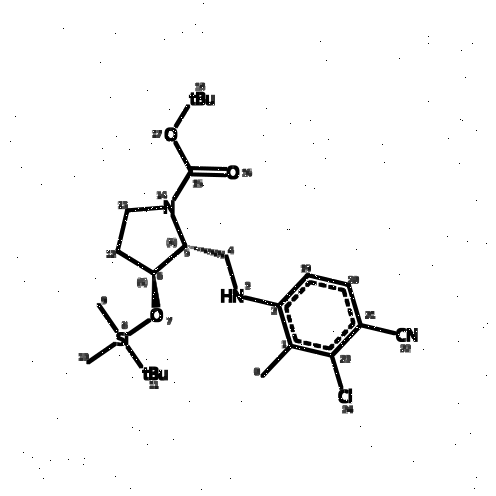 Cc1c(NC[C@@H]2[C@@H](O[Si](C)(C)C(C)(C)C)CCN2C(=O)OC(C)(C)C)ccc(C#N)c1Cl